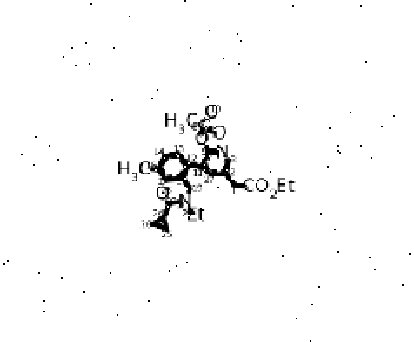 CCOC(=O)Cc1cnc(OS(C)(=O)=O)c(-c2ccc(C)cc2CN(CC)C(=O)C2CC2)c1